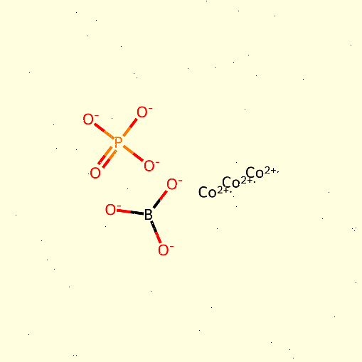 O=P([O-])([O-])[O-].[Co+2].[Co+2].[Co+2].[O-]B([O-])[O-]